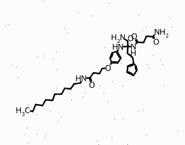 CCCCCCCCCCCCNC(=O)CCCOc1ccc(NC(CCc2ccccc2)(NC(=O)CCC(N)=O)C(N)=O)cc1